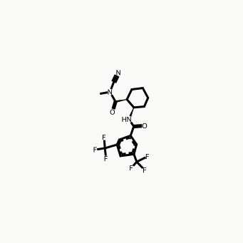 CN(C#N)C(=O)[C@H]1CCCC[C@H]1NC(=O)c1cc(C(F)(F)F)cc(C(F)(F)F)c1